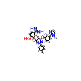 Cc1ccc(-c2nc(Oc3cccc(C4=NCCN4C)c3)cc(Oc3cc(C(=N)N)ccc3O)n2)cc1